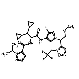 COCC(c1cnnn1CC(F)(F)F)n1cc(NC(=O)[C@@H](NC(=O)c2ccnn2C(C)C)C(C2CC2)C2CC2)c(F)n1